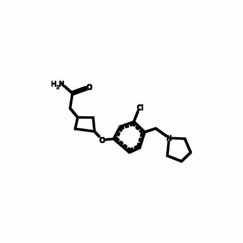 NC(=O)CC1CC(Oc2ccc(CN3CCCC3)c(Cl)c2)C1